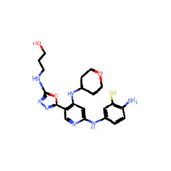 Nc1ccc(Nc2cc(NC3CCOCC3)c(-c3nnc(NCCCO)o3)cn2)cc1S